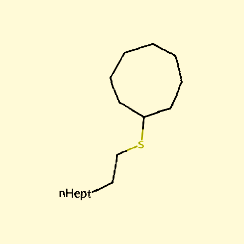 CCCCCCCCCSC1CCCCCCC1